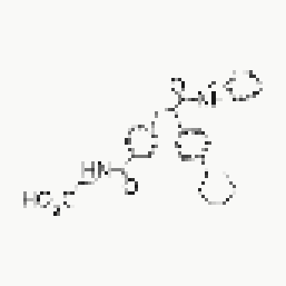 O=C(O)CCNC(=O)c1ccc(CC(C(=O)NCc2ccccc2)c2ccc(C3CCCCC3)cc2)cc1